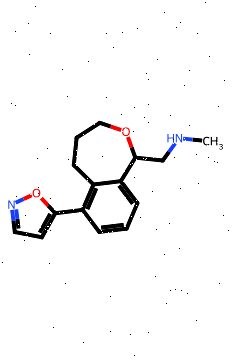 CNCC1OCCCc2c(-c3ccno3)cccc21